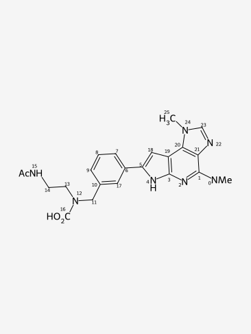 CNc1nc2[nH]c(-c3cccc(CN(CCNC(C)=O)C(=O)O)c3)cc2c2c1ncn2C